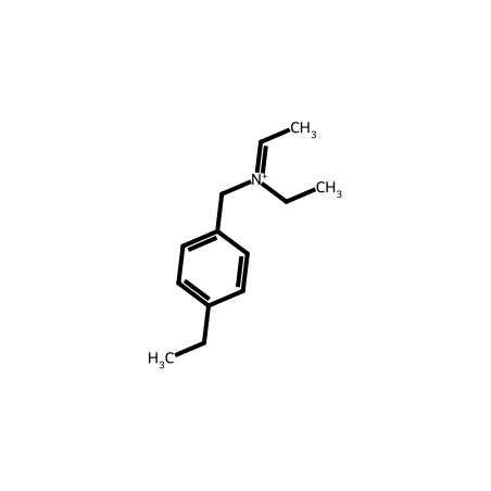 C/C=[N+](\CC)Cc1ccc(CC)cc1